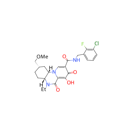 CCN1C(=O)c2c(O)c(=O)c(C(=O)NCc3cccc(Cl)c3F)cn2[C@H]2C[C@@H](COC)CC[C@H]21